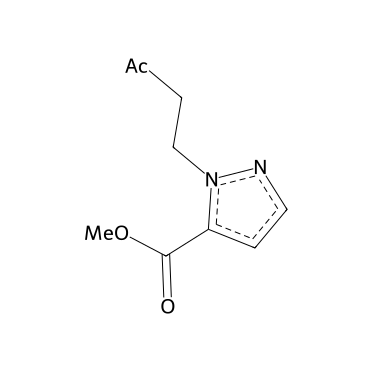 COC(=O)c1ccnn1CCC(C)=O